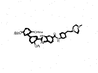 COc1ccc(OC)c(-c2ccc(O)c(-c3nc4ccc(C(=O)Nc5ccc(CCN6CCN(C)CC6)cc5)cc4[nH]3)c2)c1